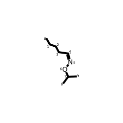 CCCC/[C]=N\OC(C)C